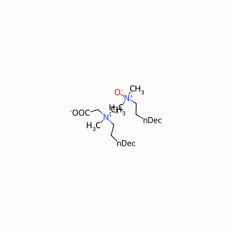 CCCCCCCCCCCC[N+](C)(C)CC(=O)[O-].CCCCCCCCCCCC[N+](C)(C)[O-]